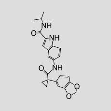 CC(C)NC(=O)c1cc2cc(NC(=O)C3(c4ccc5c(c4)OCO5)CC3)ccc2[nH]1